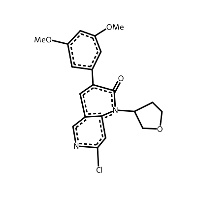 COc1cc(OC)cc(-c2cc3cnc(Cl)cc3n(C3CCOC3)c2=O)c1